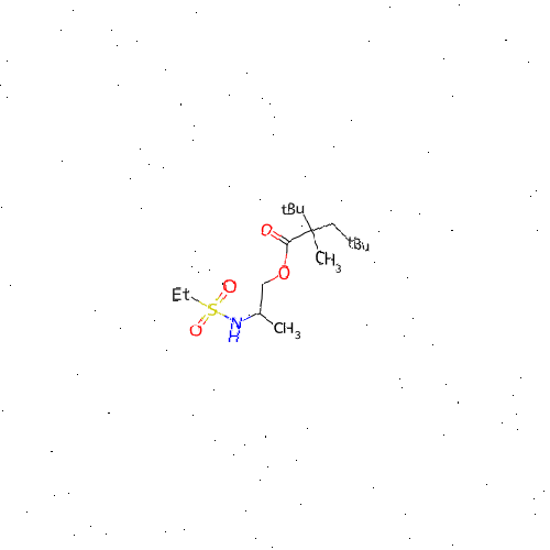 CCS(=O)(=O)NC(C)COC(=O)C(C)(CC(C)(C)C)C(C)(C)C